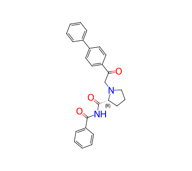 O=C(CN1CCC[C@@H]1C(=O)NC(=O)c1ccccc1)c1ccc(-c2ccccc2)cc1